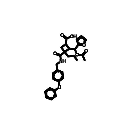 CCCC1(C(=O)NCc2ccc(Oc3ccccc3)cc2)CC(C(=O)O)C1C(OC(C)=O)c1ccco1